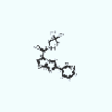 O=C(NCC(F)(F)F)c1csc2nc(-c3cccnc3)cn12